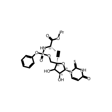 C#C[C@]1(COP(=O)(N[C@@H](C)C(=O)OC(C)C)Oc2ccccc2)O[C@@H](n2ccc(=O)[nH]c2=S)[C@@H](O)C1O